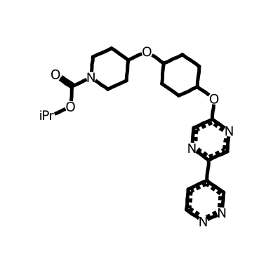 CC(C)OC(=O)N1CCC(OC2CCC(Oc3cnc(-c4ccnnc4)cn3)CC2)CC1